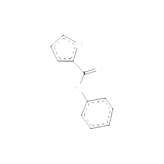 O=C(Oc1ccccc1)c1ccc[pH]1